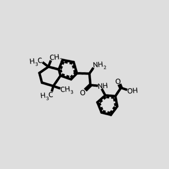 CC1(C)CCC(C)(C)c2cc(C(N)C(=O)Nc3ccccc3C(=O)O)ccc21